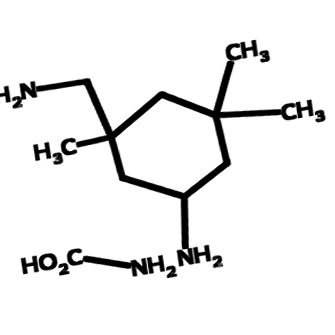 CC1(C)CC(N)CC(C)(CN)C1.NC(=O)O